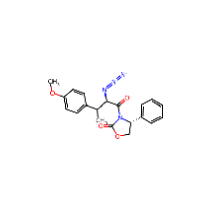 COc1ccc(C(C)C(N=[N+]=[N-])C(=O)N2C(=O)OC[C@H]2c2ccccc2)cc1